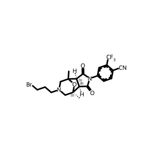 CC12CN(CCCBr)C[C@@](C)(O1)[C@@H]1C(=O)N(c3ccc(C#N)c(C(F)(F)F)c3)C(=O)[C@@H]12